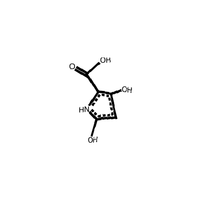 O=C(O)c1[nH]c(O)cc1O